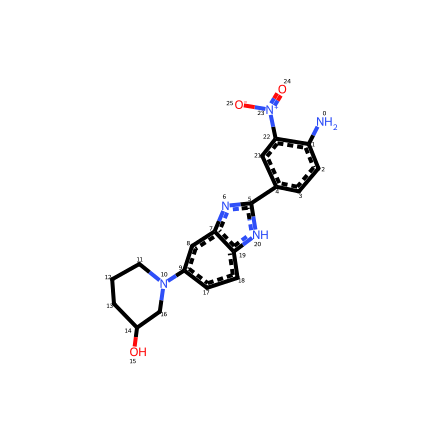 Nc1ccc(-c2nc3cc(N4CCCC(O)C4)ccc3[nH]2)cc1[N+](=O)[O-]